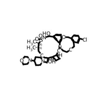 C[C@@H]1[C@@H](C)CCC[C@](O)(CN2CCC(N3CCOCC3)CC2)[C@@H]2CC[C@H]2CN2CCCCc3cc(Cl)ccc3COc3ccc(cc32)C(=O)NS1(=O)=O